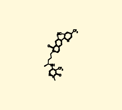 C[C@@H](CCCn1ccc2cc(-c3ncc(C(F)(F)F)cc3C#N)c(F)cc2c1=O)Nc1cnn(C)c(=O)c1C(F)(F)F